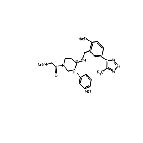 COc1ccc(-n2nnnc2C(F)(F)F)cc1CN[C@@H]1CCN(C(=O)CNC(C)=O)C[C@H]1c1ccccc1.Cl